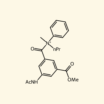 CCC[N+](C)(C(=O)c1cc(NC(C)=O)cc(C(=O)OC)c1)c1ccccc1